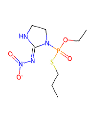 CCCSP(=O)(OCC)N1CCNC1=N[N+](=O)[O-]